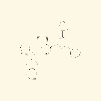 c1ccc(-c2cc(-c3ccc(-n4c5ccccc5c5cc6ccccc6cc54)c4ccccc34)nc(-c3ccccc3)n2)cc1